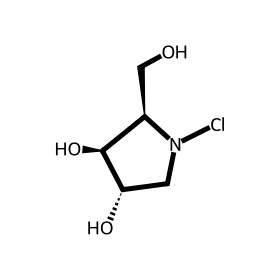 OC[C@@H]1[C@H](O)[C@@H](O)CN1Cl